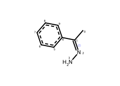 C/C(=N/N)c1ccccc1